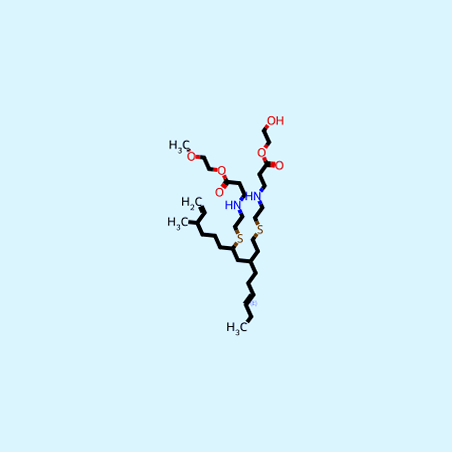 C=CC(C)CCCC(CC(CC/C=C/CC)CCSCCNCCC(=O)OCCO)SCCNCCC(=O)OCCOC